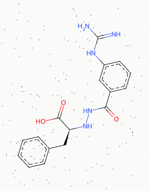 N=C(N)Nc1cccc(C(=O)NN[C@@H](Cc2ccccc2)C(=O)O)c1